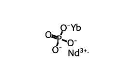 O=P([O-])([O-])[O-].[Nd+3].[Yb]